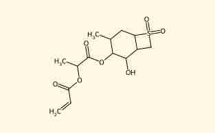 C=CC(=O)OC(C)C(=O)OC1C(C)CC2C(CS2(=O)=O)C1O